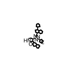 C1=C(c2nc(-c3ccccc3)nc(-c3ccc(-c4ccccc4)c4ccccc34)n2)c2c(oc3cc4ccccc4cc23)NC1